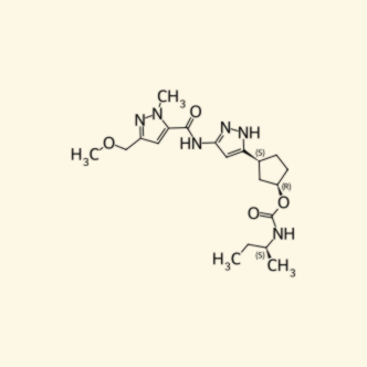 CC[C@H](C)NC(=O)O[C@@H]1CC[C@H](c2cc(NC(=O)c3cc(COC)nn3C)n[nH]2)C1